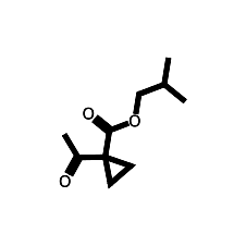 CC(=O)C1(C(=O)OCC(C)C)CC1